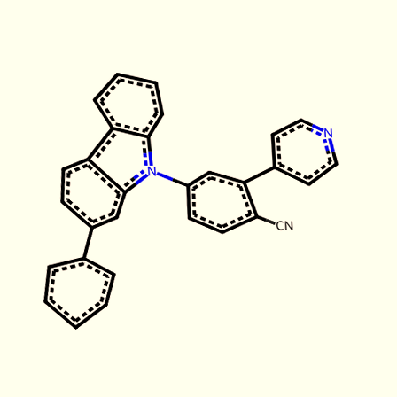 N#Cc1ccc(-n2c3ccccc3c3ccc(-c4ccccc4)cc32)cc1-c1ccncc1